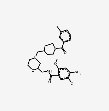 COc1cc(N)c(Cl)cc1C(=O)NCC1CN(CC2CCN(C(=O)c3cccc(C)c3)CC2)CCO1